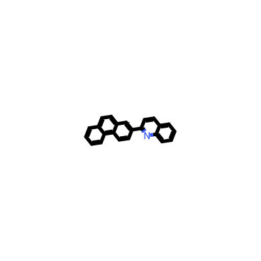 [c]1c(-c2ccc3ccccc3n2)ccc2c1ccc1ccccc12